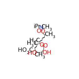 C/C(=C\C=C\[C@@H](C)COC(=O)N(C)C(C)C)[C@H]1OC(=O)C[C@H](O)CC[C@@](C)(O)[C@@H](CC(=O)O)/C=C/[C@@H]1C